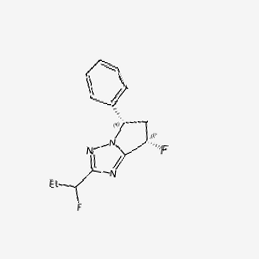 CCC(F)c1nc2n(n1)[C@H](c1ccccc1)C[C@@H]2F